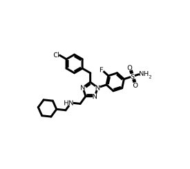 NS(=O)(=O)c1ccc(-n2nc(CNCC3CCCCC3)nc2Cc2ccc(Cl)cc2)c(F)c1